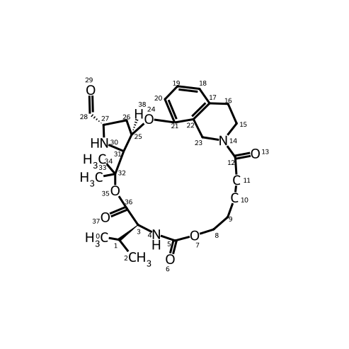 CC(C)[C@@H]1NC(=O)OCCCCC(=O)N2CCc3cccc(c3C2)O[C@@H]2C[C@@H](C=O)NC2C(C)(C)OC1=O